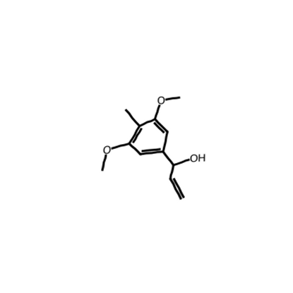 C=CC(O)c1cc(OC)c(C)c(OC)c1